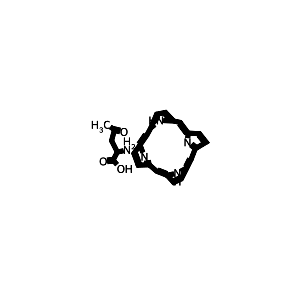 C1=Cc2cc3ccc(cc4nc(cc5ccc(cc1n2)[nH]5)C=C4)[nH]3.CC(=O)CC(N)C(=O)O